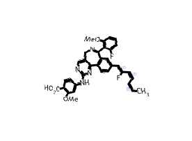 C\C=C/C=C\C(F)=C\c1ccc2c(c1)C(c1c(F)cccc1OC)=NCc1cnc(Nc3ccc(C(=O)O)c(OC)c3)nc1-2